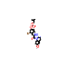 COc1ccc2c(c1)CCCN2C(=O)[C@@H](N)Cc1c(C)cc(OC(=O)OCC(C)C)cc1Br